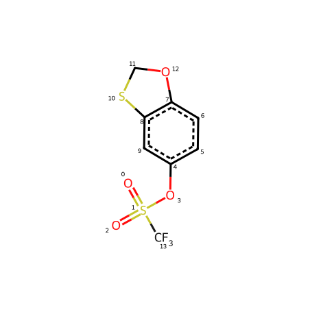 O=S(=O)(Oc1ccc2c(c1)SCO2)C(F)(F)F